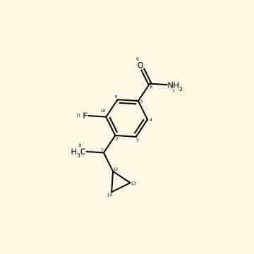 CC(c1ccc(C(N)=O)cc1F)C1CC1